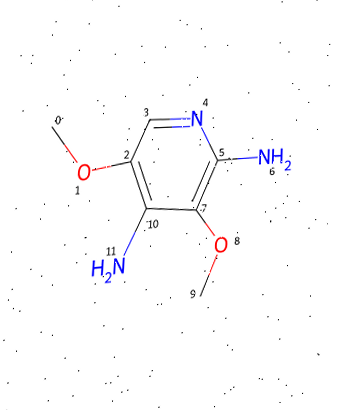 COc1cnc(N)c(OC)c1N